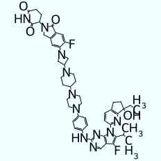 CC[C@@]1(O)CCc2ccc(-n3c(C(C)C)c(F)c4cnc(Nc5ccc(N6CCN(C7CCN(C8CN(c9cc%10c(cc9F)C(=O)N(C9CCC(=O)NC9=O)C%10)C8)CC7)CC6)cc5)nc43)nc21